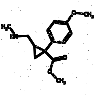 CNCC1CC1(C(=O)OC)c1ccc(OC)cc1